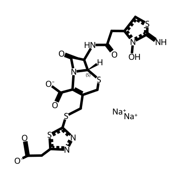 N=c1scc(CC(=O)NC2C(=O)N3C(C(=O)[O-])=C(CSc4nnc(CC(=O)[O-])s4)CS[C@@H]23)n1O.[Na+].[Na+]